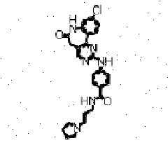 O=C1Cc2cnc(Nc3ccc(C(=O)NCCCN4CCCC4)cc3)nc2-c2ccc(Cl)cc2N1